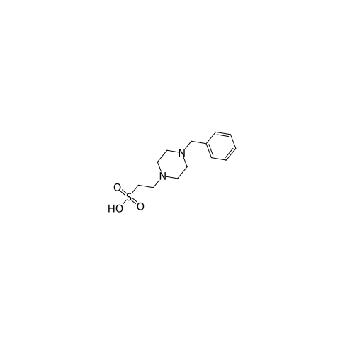 O=S(=O)(O)CCN1CCN(Cc2ccccc2)CC1